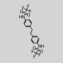 O=S(=O)(Nc1ccc(CCc2ccc(NS(=O)(=O)C(F)(F)F)cc2)cc1)C(F)(F)F